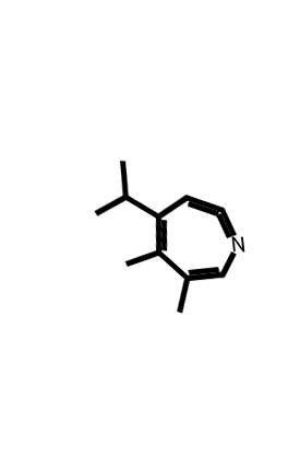 CC1=CN=C=CC(C(C)C)=C1C